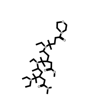 CCN(C(C)CC(CC(=O)OC)C(C)(C)N(CC)C(C)CC(CC(=O)N(C)C)C(C)(C)N(CC)CC)C(C)(C)CCC(=O)N1CCOCC1